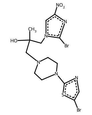 CC(O)(CN1CCN(c2ncc(Br)s2)CC1)Cn1cc([N+](=O)[O-])nc1Br